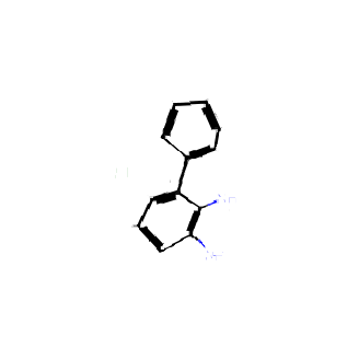 F.Nc1cccc(-c2ccccc2)c1N